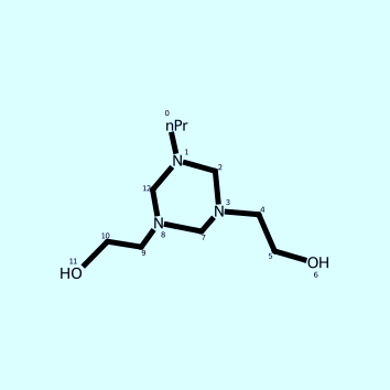 CCCN1CN(CCO)CN(CCO)C1